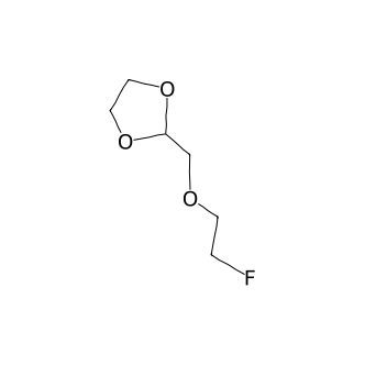 FCCOCC1OCCO1